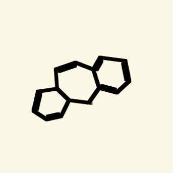 [C]1c2ccccc2C=CC2C=CC=CC12